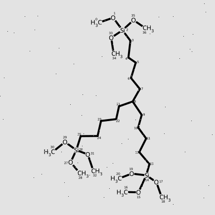 CO[Si](CCCCCC(CCCCC[Si](OC)(OC)OC)CCCCC[Si](OC)(OC)OC)(OC)OC